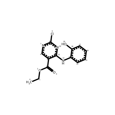 CCOC(=O)c1cnc(Cl)nc1Nc1ccccc1O